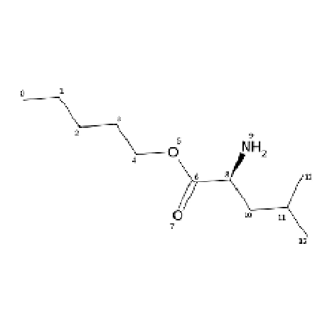 CCCCCOC(=O)[C@@H](N)CC(C)C